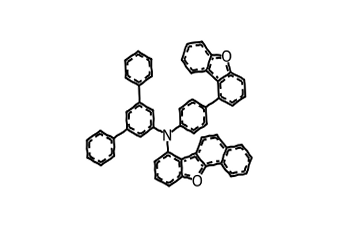 c1ccc(-c2cc(-c3ccccc3)cc(N(c3ccc(-c4cccc5oc6ccccc6c45)cc3)c3cccc4oc5c6ccccc6ccc5c34)c2)cc1